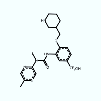 Cc1cnc(N(I)C(=O)Nc2cc(C(F)(F)F)ccc2OCC2CCCNC2)cn1.Cl